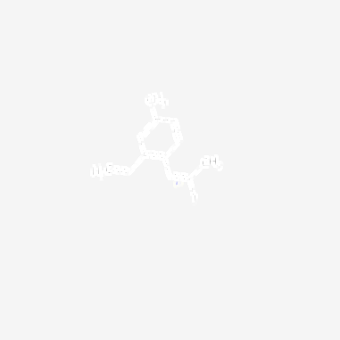 C=Cc1cc(C)ccc1/C=C(\C)I